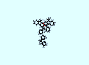 CC1(C)c2ccccc2-c2cc(N(c3cccc(-c4ccc5c(c4)C(C)(C)c4ccccc4-5)c3)c3ccccc3-c3cccc4c3-c3ccccc3C4(C)C)ccc21